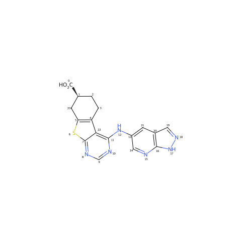 O=C(O)[C@H]1CCc2c(sc3ncnc(Nc4cnc5[nH]ncc5c4)c23)C1